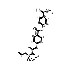 C=CCN(OC(C)=O)C(=O)/C(C)=C/c1ccc(C(=O)Oc2ccc(C(=N)N)cc2)cc1